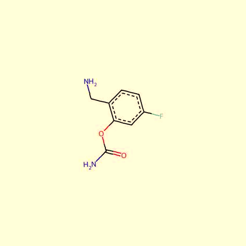 NCc1ccc(F)cc1OC(N)=O